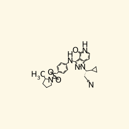 C[C@@H]1CCCN1S(=O)(=O)c1ccc(Nc2nn([C@@H](CC#N)C3CC3)c3cc[nH]c(=O)c23)cc1